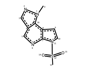 Cn1ncc2cnc3c(ccn3S(C)(=O)=O)c21